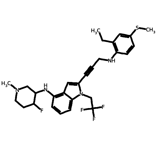 CCc1cc(SC)ccc1NCC#Cc1cc2c(NC3CN(C)CCC3F)cccc2n1CC(F)(F)F